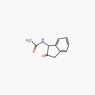 CC(=O)NC1C(=O)Cc2ccccc21